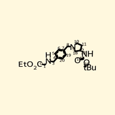 CCOC(=O)CNCc1ccc(CN2CC[C@H](NC(=O)OC(C)(C)C)C2)cc1